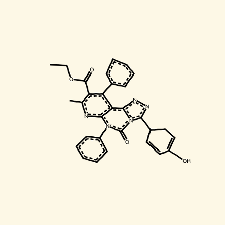 CCOC(=O)c1c(C)nc2c(c1-c1ccccc1)c1nnc(C3C=CC(O)=CC3)n1c(=O)n2-c1ccccc1